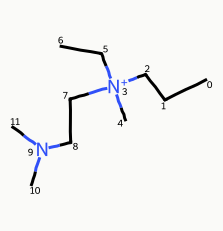 CCC[N+](C)(CC)CCN(C)C